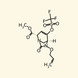 C=CCON1C(=O)N2C[C@H]1C(OS(=O)(=O)C(F)(F)F)=C[C@H]2C(=O)OC